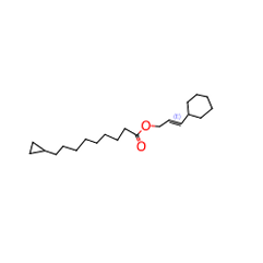 O=C(CCCCCCCCC1CC1)OC/C=C/C1CCCCC1